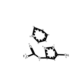 O=C(Oc1cc(O)no1)C(F)(F)F.c1ccncc1